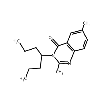 CCCC(CCC)n1c(C)nc2ccc(C)cc2c1=O